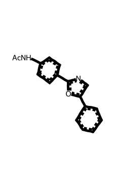 CC(=O)Nc1ccc(-c2ncc(-c3ccccc3)o2)cc1